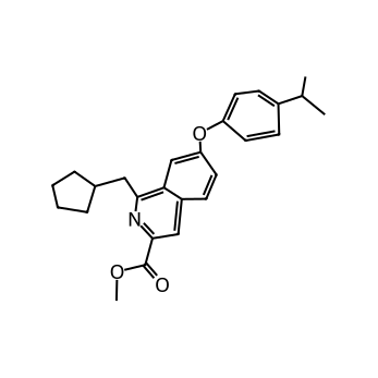 COC(=O)c1cc2ccc(Oc3ccc(C(C)C)cc3)cc2c(CC2CCCC2)n1